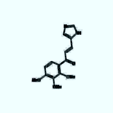 COc1ccc(C(=O)/C=C/c2cnc[nH]2)c(OC)c1OC